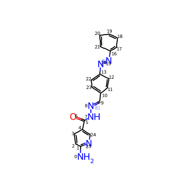 Nc1ccc(C(=O)N/N=C/c2ccc(/N=N/c3ccccc3)cc2)cn1